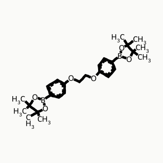 CC1(C)OB(c2ccc(OCCOc3ccc(B4OC(C)(C)C(C)(C)O4)cc3)cc2)OC1(C)C